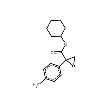 Cc1ccc(C2(C(=O)OC3CCCCC3)CO2)cc1